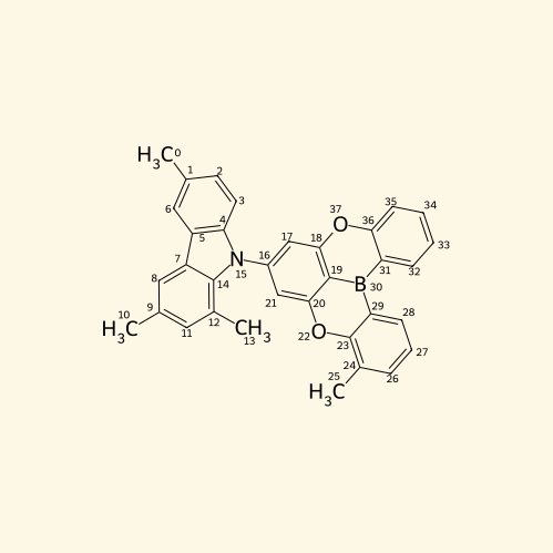 Cc1ccc2c(c1)c1cc(C)cc(C)c1n2-c1cc2c3c(c1)Oc1c(C)cccc1B3c1ccccc1O2